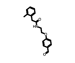 Cc1ccccc1CC(=O)NCCOc1ccc(C=O)cc1